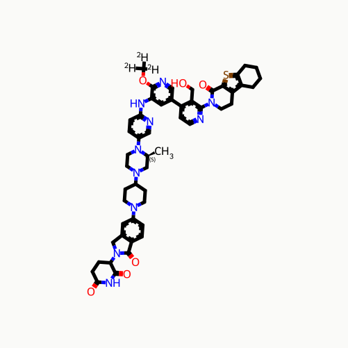 [2H]C([2H])([2H])Oc1ncc(-c2ccnc(N3CCc4c(sc5c4CCCC5)C3=O)c2CO)cc1Nc1ccc(N2CCN(C3CCN(c4ccc5c(c4)CN(C4CCC(=O)NC4=O)C5=O)CC3)C[C@@H]2C)cn1